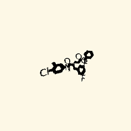 Cc1cc(N(C)C(=O)[C@@H](CCC(=O)Oc2ccccc2)Cc2cc(F)cc(F)c2)ccc1Cl